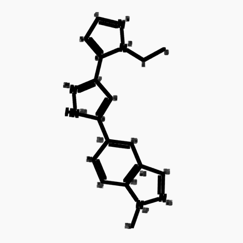 CCn1nccc1-c1cc(-c2ccc3c(cnn3C)c2)[nH]n1